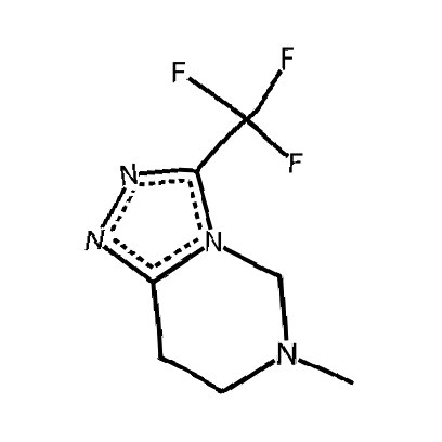 CN1CCc2nnc(C(F)(F)F)n2C1